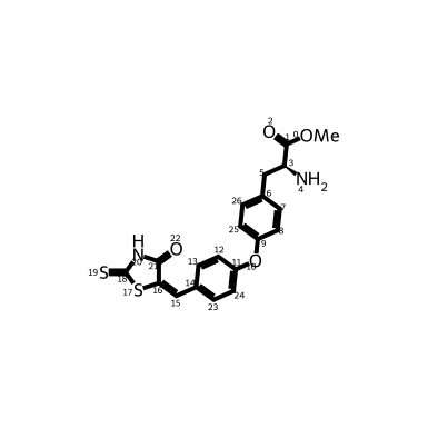 COC(=O)[C@@H](N)Cc1ccc(Oc2ccc(C=C3SC(=S)NC3=O)cc2)cc1